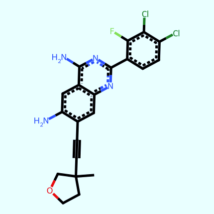 CC1(C#Cc2cc3nc(-c4ccc(Cl)c(Cl)c4F)nc(N)c3cc2N)CCOC1